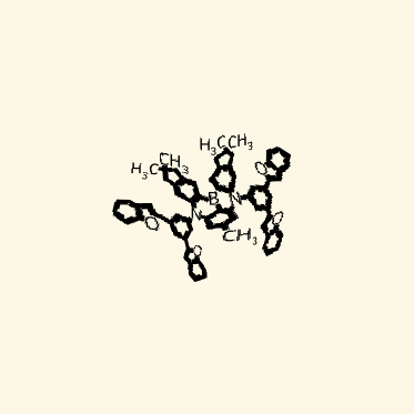 Cc1cc2c3c(c1)N(c1cc(-c4cc5ccccc5o4)cc(-c4cc5ccccc5o4)c1)c1cc4c(cc1B3c1cc3c(cc1N2c1cc(-c2cc5ccccc5o2)cc(-c2cc5ccccc5o2)c1)CC(C)(C)C3)CC(C)(C)C4